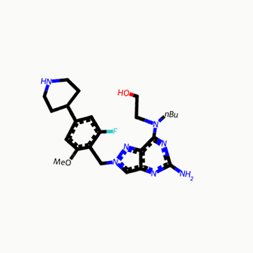 CCCCN(CCO)c1nc(N)nc2cn(Cc3c(F)cc(C4CCNCC4)cc3OC)nc12